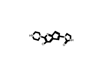 O=C1NCCN1c1ccc2nc(N3CCNCC3)c(Cl)cc2c1